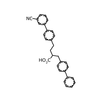 N#Cc1cccc(-c2ccc(CCC(Cc3ccc(-c4ccccc4)cc3)C(=O)O)cc2)c1